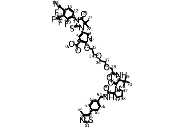 COC(=O)c1cc(N2C(=S)N(c3ccc(C#N)c(C(F)(F)F)c3F)C(=O)C2(C)C)cnc1OCCOCCOCC(=O)NC(C(=O)N1CCCC1C(=O)NCc1ccc(-c2scnc2C)cc1)C(C)(C)C